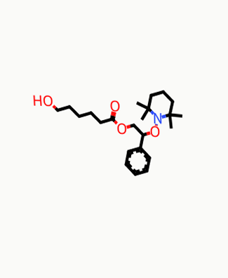 CC1(C)CCCC(C)(C)N1OC(COC(=O)CCCCCO)c1ccccc1